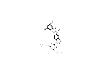 COc1nc(OC)nc(N2CCc3cc(N(CC(=O)O)S(=O)(=O)c4cc(Cl)cc(Cl)c4)ccc32)n1